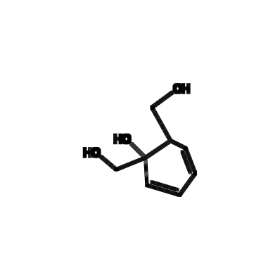 OCC1C=CC=CC1(O)CO